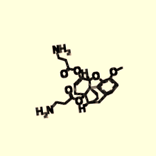 COc1ccc2c3c1O[C@H]1C(OC(=O)CCN)=CC[C@@]4(OC(=O)CCN)[C@H](CCC[C@]314)C2